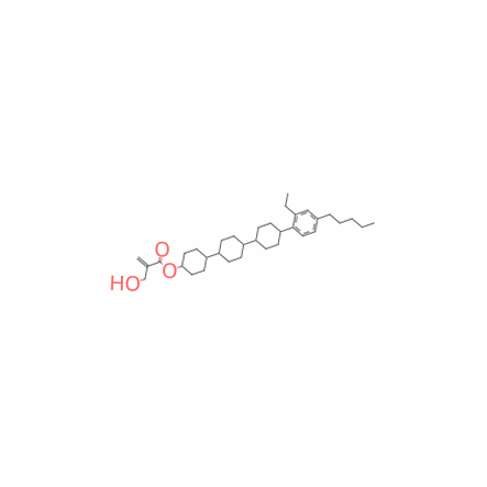 C=C(CO)C(=O)OC1CCC(C2CCC(C3CCC(c4ccc(CCCCC)cc4CC)CC3)CC2)CC1